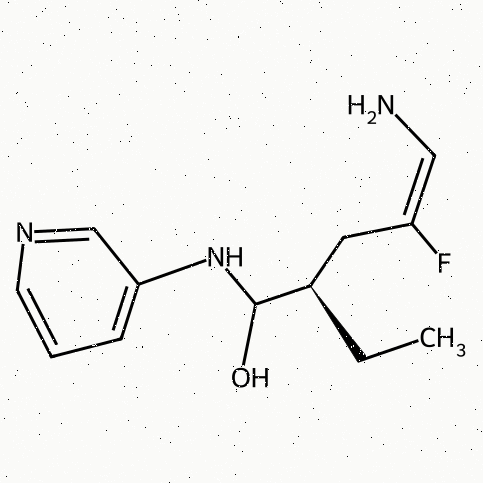 CC[C@H](C/C(F)=C\N)C(O)Nc1cccnc1